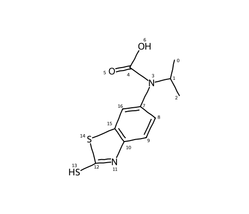 CC(C)N(C(=O)O)c1ccc2nc(S)sc2c1